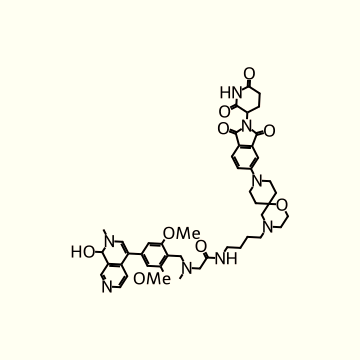 COc1cc(C2=CN(C)C(O)c3cnccc32)cc(OC)c1CN(C)CC(=O)NCCCCN1CCOC2(CCN(c3ccc4c(c3)C(=O)N(C3CCC(=O)NC3=O)C4=O)CC2)C1